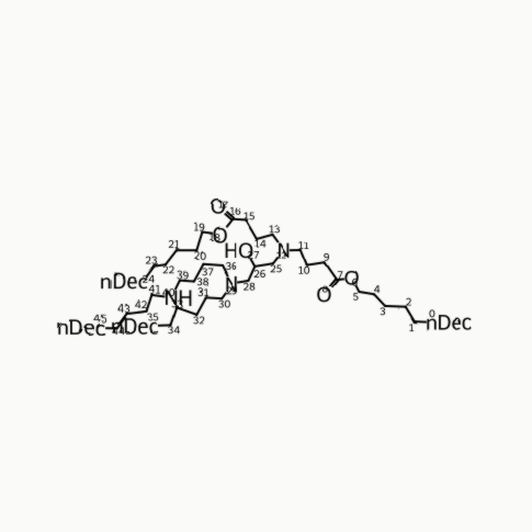 CCCCCCCCCCCCCCCOC(=O)CCCN(CCCC(=O)OCCCCCCCCCCCCCCC)CC(O)CN(CCCCCCCCCCCCCCC)CCCCNCCCCCCCCCCCCCC